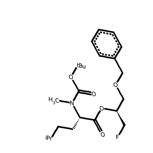 CC(C)CC[C@@H](C(=O)O[C@H](CF)COCc1ccccc1)N(C)C(=O)OC(C)(C)C